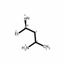 CCC[C@H](CC)CC(C)N